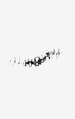 COC(=O)[C@H](C)NCC(=O)Nc1ccc2c(c1)C(=O)c1cc(NC(=O)CN[C@H](C)C(=O)OC)ccc1C2=O